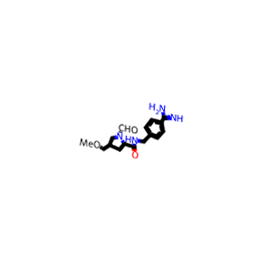 COCC1CC(C(=O)NCc2ccc(C(=N)N)cc2)N(C=O)C1